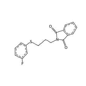 O=C1c2ccccc2C(=O)N1CCCSc1cccc(F)c1